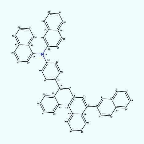 c1ccc2cc(-c3cc4cc(-c5ccc(N(c6ccc7ccccc7c6)c6cccc7ccccc67)cc5)c5ccccc5c4c4ccccc34)ccc2c1